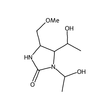 COCC1NC(=O)N(C(C)O)C1C(C)O